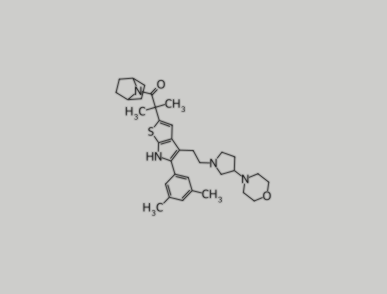 Cc1cc(C)cc(-c2[nH]c3sc(C(C)(C)C(=O)N4C5CCC4CC5)cc3c2CCN2CCC(N3CCOCC3)C2)c1